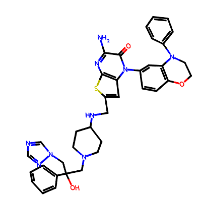 Nc1nc2sc(CNC3CCN(CC(O)(Cn4cncn4)c4ccccc4)CC3)cc2n(-c2ccc3c(c2)N(c2ccccc2)CCO3)c1=O